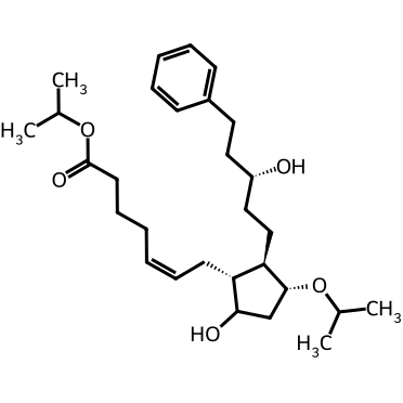 CC(C)OC(=O)CCC/C=C\C[C@H]1C(O)C[C@@H](OC(C)C)[C@@H]1CC[C@@H](O)CCc1ccccc1